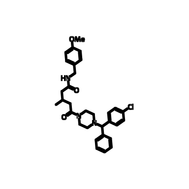 COc1ccc(CNC(=O)CC(C)CC(=O)N2CCN(C(c3ccccc3)c3ccc(Cl)cc3)CC2)cc1